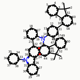 CC1(C)c2ccccc2-c2c(-c3ccc(N(c4ccccc4-c4ccc5c6ccccc6n(-c6ccccc6)c5c4)c4cccc5c4-c4ccccc4C5(C)C)cc3)cccc21